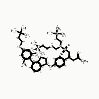 COC(=O)CC(CS(=O)(=O)N(CC[Si](C)(C)C)COCC[Si](C)(C)C)c1ccc(O[C@@H]2CCc3c(-c4c(C)cc(OCCC(C)(C)O)cc4C)cccc32)cc1